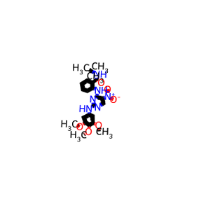 COc1cc(Nc2ncc([N+](=O)[O-])c(Nc3ccccc3C(=O)NC(C)(C)C)n2)cc(OC)c1OC